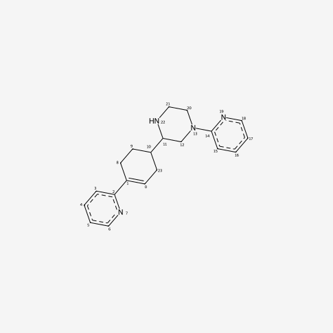 C1=C(c2ccccn2)CCC(C2CN(c3ccccn3)CCN2)C1